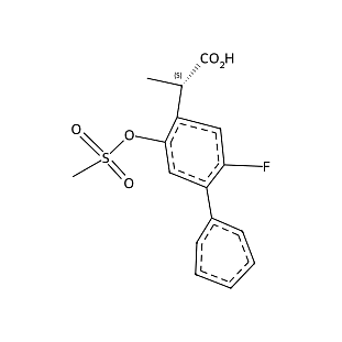 C[C@H](C(=O)O)c1cc(F)c(-c2ccccc2)cc1OS(C)(=O)=O